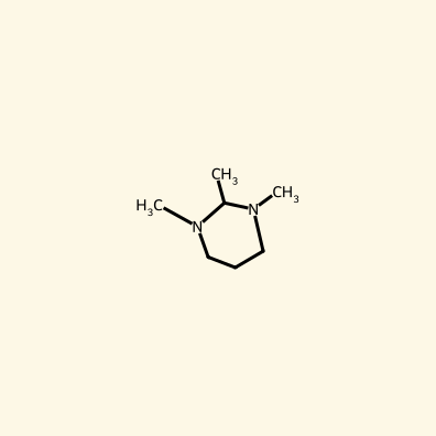 CC1N(C)CCCN1C